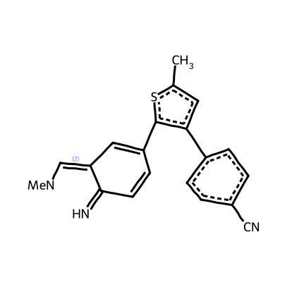 CN/C=C1/C=C(c2sc(C)cc2-c2ccc(C#N)cc2)C=CC1=N